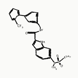 CN(c1ccc2cc(C(=O)Nc3cccc(-c4ccccc4C(F)(F)F)c3)[nH]c2c1)S(C)(=O)=O